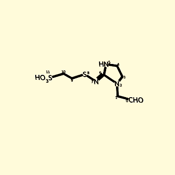 O=CCN1CCN/C1=N\SCCS(=O)(=O)O